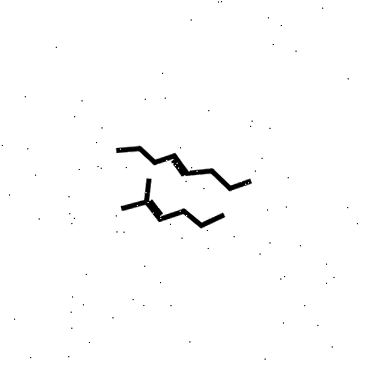 CCCC=C(C)C.CCCC=CCCC